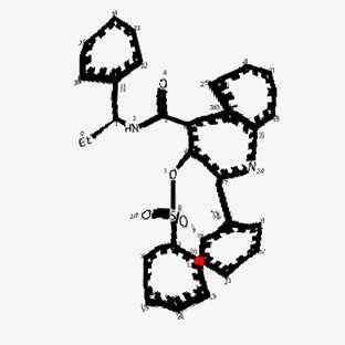 CC[C@H](NC(=O)c1c(OS(=O)(=O)c2ccccc2)c(-c2ccccc2)nc2ccccc12)c1ccccc1